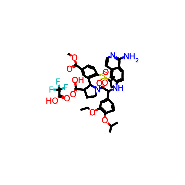 CCOc1cc(C(Nc2ccc3c(N)nccc3c2)C(=O)N2CCC(C(=O)O)C2c2cc(C(=O)OC)ccc2S(=O)(=O)C(C)C)ccc1OC(C)C.O=C(O)C(F)(F)F